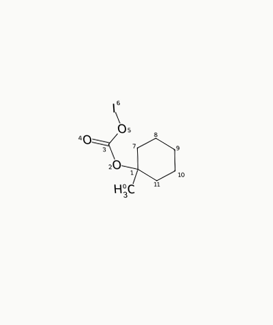 CC1(OC(=O)OI)CCCCC1